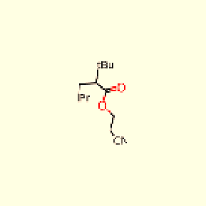 CC(C)CC(C(=O)OCCC#N)C(C)(C)C